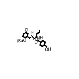 C/C=C/C(=N\NCc1cc(Cl)ccc1OCC(C)C)NC(=O)c1ccc(CO)cc1